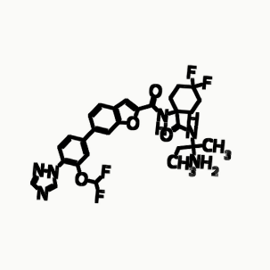 CCC(C)(N)NC(=O)C1(NC(=O)c2cc3ccc(-c4ccc(-n5cncn5)c(OC(F)F)c4)cc3o2)CCC(F)(F)CC1